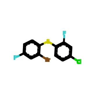 Fc1ccc(Sc2ccc(Cl)cc2F)c(Br)c1